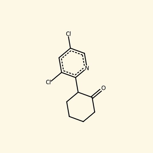 O=C1CCCCC1c1ncc(Cl)cc1Cl